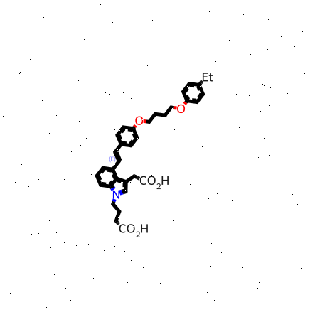 CCc1ccc(OCCCCOc2ccc(/C=C/c3cccc4c3c(CC(=O)O)cn4CCCC(=O)O)cc2)cc1